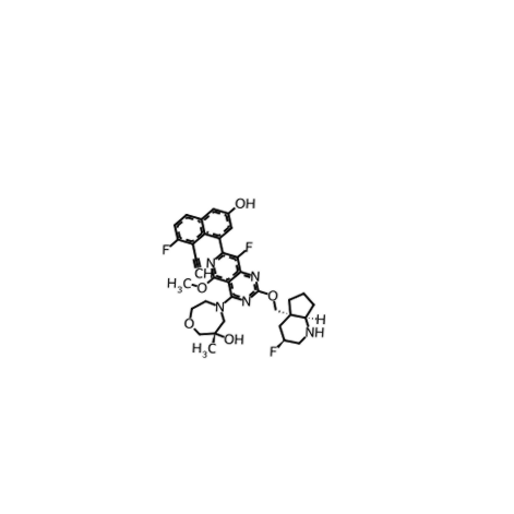 C#Cc1c(F)ccc2cc(O)cc(-c3nc(OC)c4c(N5CCOC[C@@](C)(O)C5)nc(OC[C@]56CCC[C@H]5NC[C@@H](F)C6)nc4c3F)c12